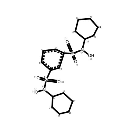 O=S(=O)(c1cccc(S(=O)(=O)N(O)C2CCCCC2)c1)N(O)C1CCCCC1